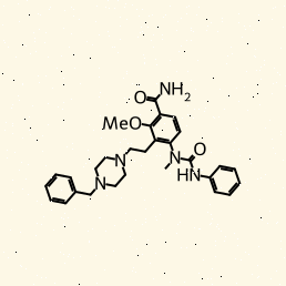 COc1c(C(N)=O)ccc(N(C)C(=O)Nc2ccccc2)c1CCN1CCN(Cc2ccccc2)CC1